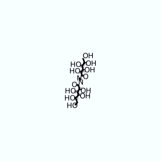 O=C(N=NC(=O)[C@@H](O)[C@@H](O)[C@H](O)[C@H](O)CO)[C@@H](O)[C@@H](O)[C@H](O)[C@H](O)CO